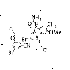 COc1ccc(C2(c3cc(Br)cc(OCC4CC4)c3)COC(N)=N2)cc1C.N#Cc1cc(Br)cc(OCC2CC2)c1